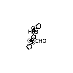 O=C[C@H]1C[C@H](NS(=O)(=O)c2ccccc2)CN1S(=O)(=O)c1ccccc1